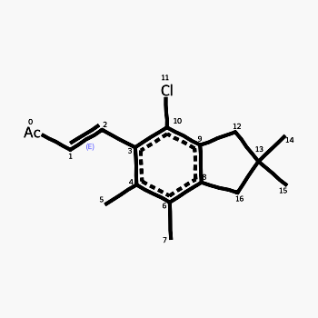 CC(=O)/C=C/c1c(C)c(C)c2c(c1Cl)CC(C)(C)C2